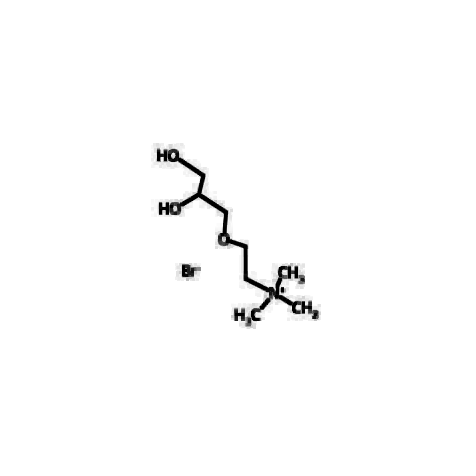 C[N+](C)(C)CCOCC(O)CO.[Br-]